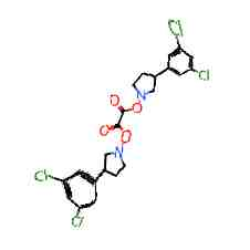 O=C(ON1CCC(c2cc(Cl)cc(Cl)c2)C1)C(=O)ON1CCC(c2cc(Cl)cc(Cl)c2)C1